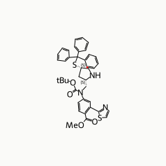 COC(=O)c1ccc(N(C[C@@H]2C[C@H](SC(c3ccccc3)(c3ccccc3)c3ccccc3)CN2)C(=O)OC(C)(C)C)cc1-c1nccs1